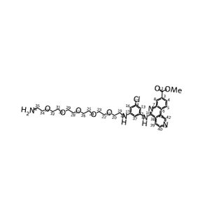 COC(=O)c1ccc2c(c1)nc(Nc1cc(Cl)cc(NCCOCCOCCOCCOCCOCCN)c1)c1ccncc12